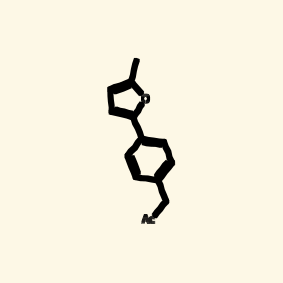 CC(=O)Cc1ccc(-c2ccc(C)o2)cc1